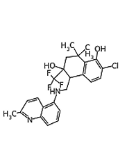 Cc1ccc2c(NCC3c4ccc(Cl)c(O)c4C(C)(C)CC3(O)C(F)(F)F)cccc2n1